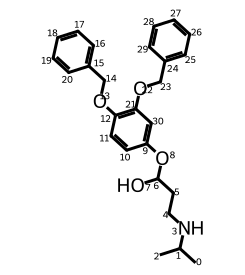 CC(C)NCCC(O)Oc1ccc(OCc2ccccc2)c(OCc2ccccc2)c1